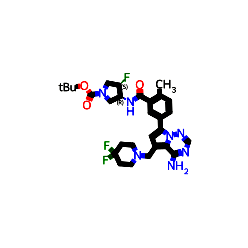 Cc1ccc(-c2cc(CN3CCC(F)(F)CC3)c3c(N)ncnn23)cc1C(=O)N[C@@H]1CN(C(=O)OC(C)(C)C)C[C@@H]1F